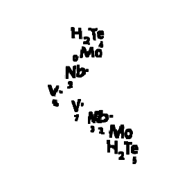 [Mo].[Mo].[Nb].[Nb].[TeH2].[TeH2].[V].[V]